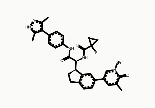 Cc1n[nH]c(C)c1-c1ccc(NC(=O)[C@@H](NC(=O)C2(F)CC2)[C@@H]2CCc3ccc(-c4cc(C)c(=O)n(C(C)C)c4)cc32)cc1